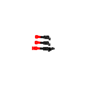 O=[N+]([O-])O.O=[N+]([O-])[O-].O=[N+]([O-])[O-].[Sr+2]